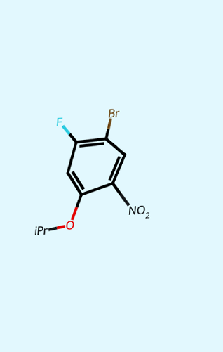 CC(C)Oc1cc(F)c(Br)cc1[N+](=O)[O-]